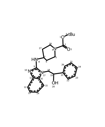 CC(C)(C)OC(=O)N1CCC(Nc2nc3ccccc3n2CC(O)c2ccccc2)CC1